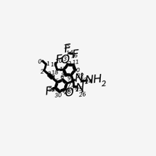 CCCC#Cc1cc(C2(c3ccc(OC(F)F)c(CCF)c3)N=C(N)N(C)C2=O)ccc1F